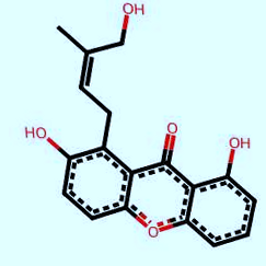 CC(=CCc1c(O)ccc2oc3cccc(O)c3c(=O)c12)CO